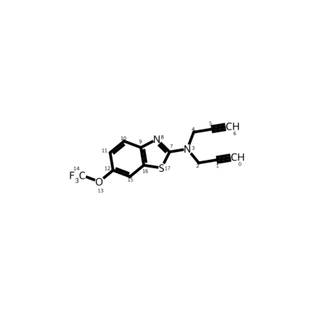 C#CCN(CC#C)c1nc2ccc(OC(F)(F)F)cc2s1